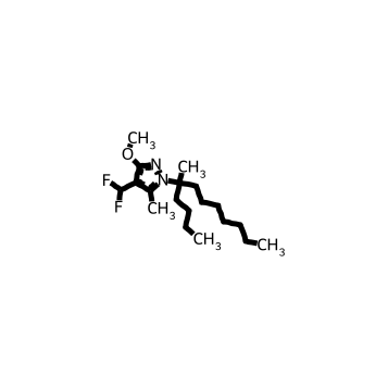 CCCCCCCC(C)(CCCC)n1nc(OC)c(C(F)F)c1C